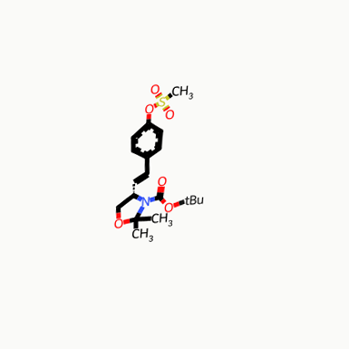 CC(C)(C)OC(=O)N1[C@@H](C=Cc2ccc(OS(C)(=O)=O)cc2)COC1(C)C